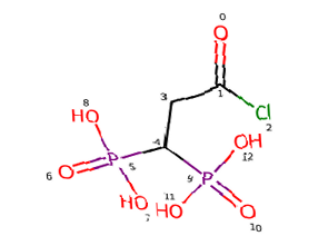 O=C(Cl)CC(P(=O)(O)O)P(=O)(O)O